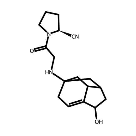 N#C[C@@H]1CCCN1C(=O)CNC12CC=C3C(O)CC(C1)C3C2